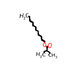 CCCCCCCCCCCCOC(=O)C(CC)CC